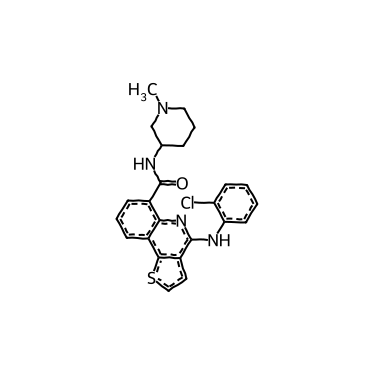 CN1CCCC(NC(=O)c2cccc3c2nc(Nc2ccccc2Cl)c2ccsc23)C1